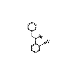 N#Cc1ccccc1[C](Br)Cc1ccccc1